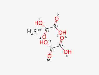 O=C(O)C(=O)O.O=C(O)C(=O)O.[SiH4]